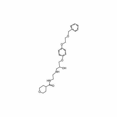 O=C(NCCNCC(O)COc1ccc(OCCOCc2ccccc2)cc1)C1CCOCC1